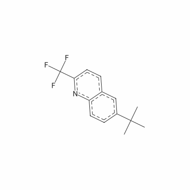 CC(C)(C)c1ccc2nc(C(F)(F)F)ccc2c1